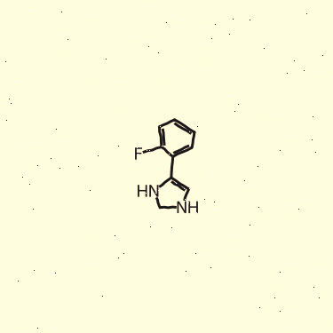 Fc1ccccc1C1=CNCN1